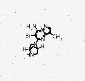 Cc1cnn2c(N)c(Br)c(N3C[C@@H]4C[C@H]3CN4)nc12